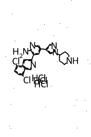 Cl.Cl.Cl.Nc1ncc(-c2cnn(C3CCNCC3)c2)cc1-c1cc2c(Cl)ccc(Cl)c2cn1